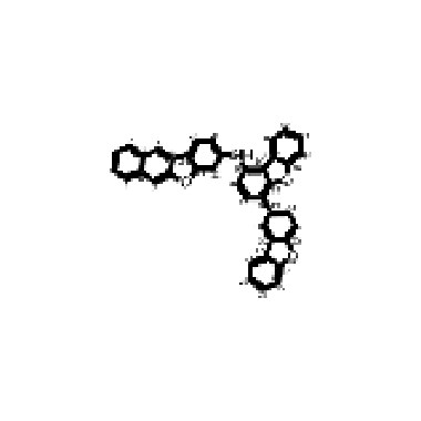 c1ccc2cc3c(cc2c1)oc1cc(Nc2ccc(-c4ccc5oc6ccccc6c5c4)c4oc5ccccc5c24)ccc13